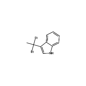 CCC(C)(CC)c1c[nH]c2ccccc12